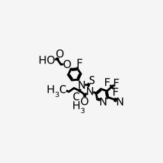 CCCC1(C)C(=O)N(c2cnc(C#N)c(C(F)(F)F)c2)C(=S)N1c1ccc(OCC(=O)O)c(F)c1